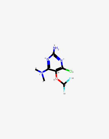 CN(C)c1nc(N)nc(Cl)c1OC(F)F